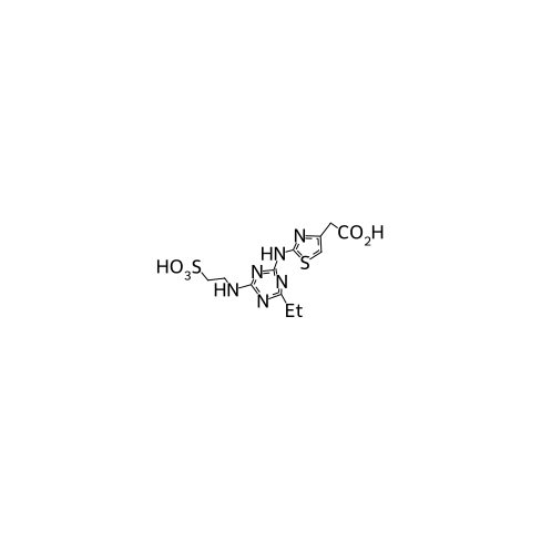 CCc1nc(NCCS(=O)(=O)O)nc(Nc2nc(CC(=O)O)cs2)n1